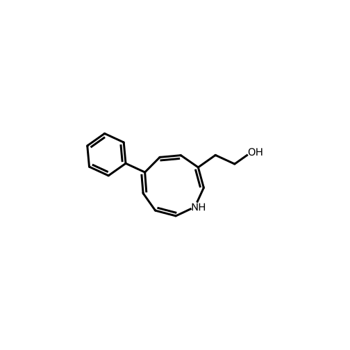 OCCc1ccc(-c2ccccc2)ccc[nH]c1